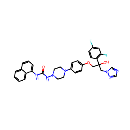 O=C(Nc1cccc2ccccc12)NN1CCN(c2ccc(OCC(O)(Cn3cncn3)c3ccc(F)cc3F)cc2)CC1